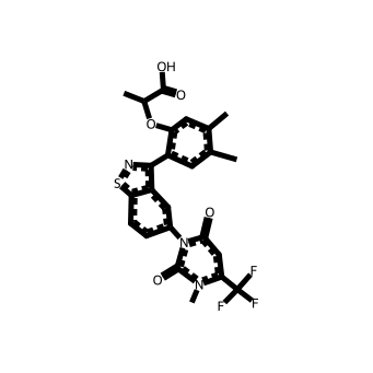 Cc1cc(OC(C)C(=O)O)c(-c2nsc3ccc(-n4c(=O)cc(C(F)(F)F)n(C)c4=O)cc23)cc1C